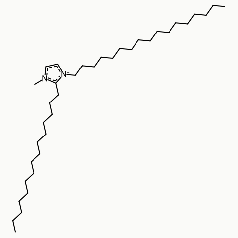 CCCCCCCCCCCCCCCCC[n+]1ccn(C)c1CCCCCCCCCCCCCCC